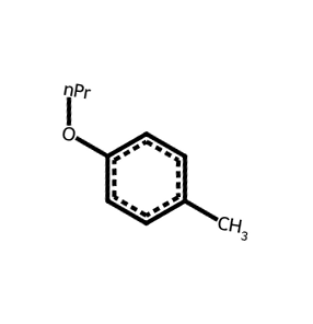 [CH2]CCOc1ccc(C)cc1